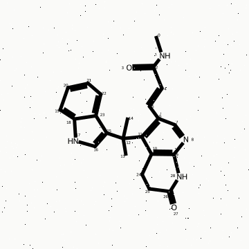 CNC(=O)C=Cc1cnc2c(c1C(C)(C)c1c[nH]c3ccccc13)CCC(=O)N2